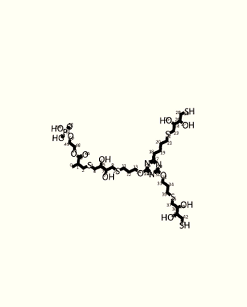 CC(CSCC(O)C(O)CSCCCOc1nc(CCCCSCC(O)C(O)CS)nc(OCCCSCC(O)C(O)CS)n1)C(=O)OCCOP(=O)(O)O